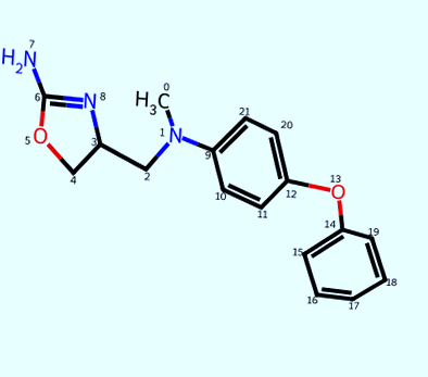 CN(CC1COC(N)=N1)c1ccc(Oc2ccccc2)cc1